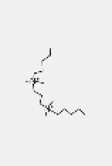 CCCCC[N+](C)(C)CCC[N+](C)(C)CCCCC